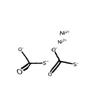 O=C([O-])[S-].O=C([O-])[S-].[Ni+2].[Ni+2]